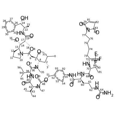 CC[C@H](C)[C@@H]([C@@H](CC(=O)N1CCC[C@H]1[C@H](OC)[C@@H](C)C(=O)N[C@H](C)[C@@H](O)c1ccccc1)OC)N(C)C(=O)[C@@H](NC(=O)[C@H](C(C)C)N(C)C(=O)OCc1ccc(NC(=O)[C@H](CCCNC(N)=O)NC(=O)[C@@H](NC(CCCCCN2C(=O)C=CC2=O)C(F)(F)F)C(C)C)cc1)C(C)C